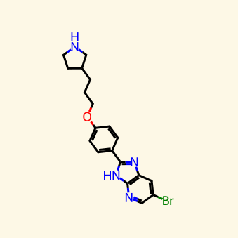 Brc1cnc2[nH]c(-c3ccc(OCCCC4CCNC4)cc3)nc2c1